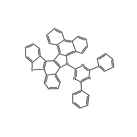 c1ccc(-c2nc(-c3ccccc3)nc(-n3c4c5ccccc5c5ccccc5c4c4c5c6ccccc6sc5c5ccccc5c43)n2)cc1